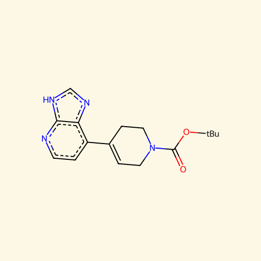 CC(C)(C)OC(=O)N1CC=C(c2ccnc3[nH]cnc23)CC1